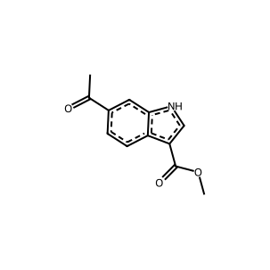 COC(=O)c1c[nH]c2cc(C(C)=O)ccc12